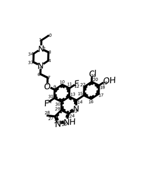 CCN1CCN(CCOc2cc(F)c3c(-c4ccc(O)c(Cl)c4)nc4[nH]nc(C)c4c3c2F)CC1